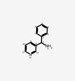 NC(c1c[c]ccc1)c1cccnc1